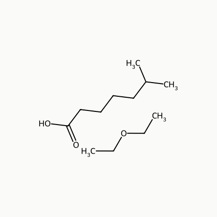 CC(C)CCCCC(=O)O.CCOCC